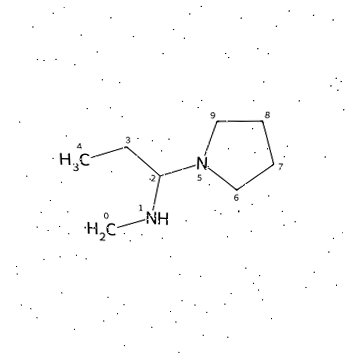 [CH2]NC(CC)N1CCCC1